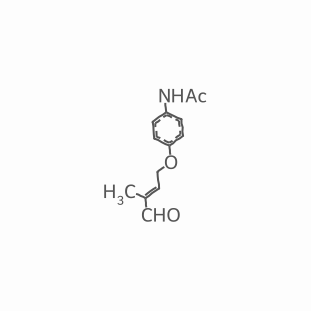 CC(=O)Nc1ccc(OCC=C(C)C=O)cc1